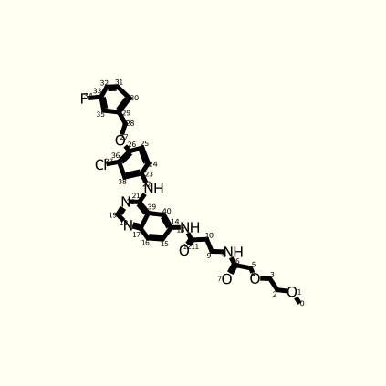 COCCOCC(=O)NCCC(=O)Nc1ccc2ncnc(Nc3ccc(OCc4cccc(F)c4)c(Cl)c3)c2c1